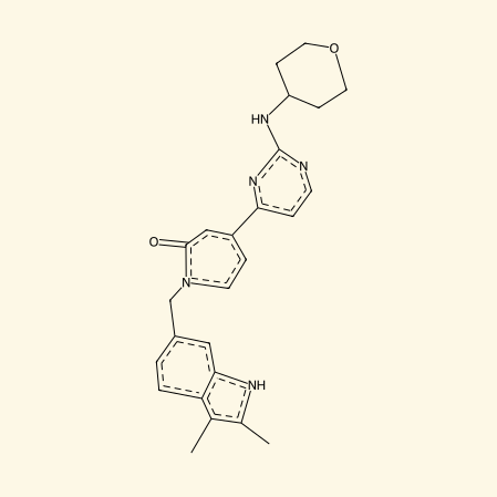 Cc1[nH]c2cc(Cn3ccc(-c4ccnc(NC5CCOCC5)n4)cc3=O)ccc2c1C